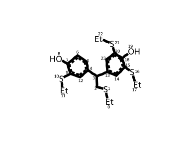 CCSCC(c1ccc(O)c(SCC)c1)c1cc(SCC)c(O)c(SCC)c1